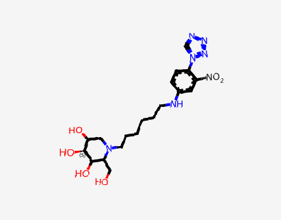 O=[N+]([O-])c1cc(NCCCCCCN2CC(O)[C@H](O)C(O)C2CO)ccc1-n1cnnn1